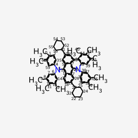 Cc1ccc(N(c2cc(C)c(C)c(C)c2)c2c3ccc(C4CCCCC4)cc3c(N(c3ccc(C)c(C)c3)c3cc(C)c(C)c(C)c3)c3ccc(C4CCCCC4)cc23)cc1C